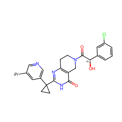 CC(C)c1cncc(C2(c3nc4c(c(=O)[nH]3)CN(C(=O)[C@H](O)c3cccc(Cl)c3)CC4)CC2)c1